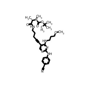 COCCCNc1nc(Nc2ccc(C#N)cc2)ncc1C#CCCCNC(=O)[C@H](C)N(C)C(=O)OC(C)(C)C